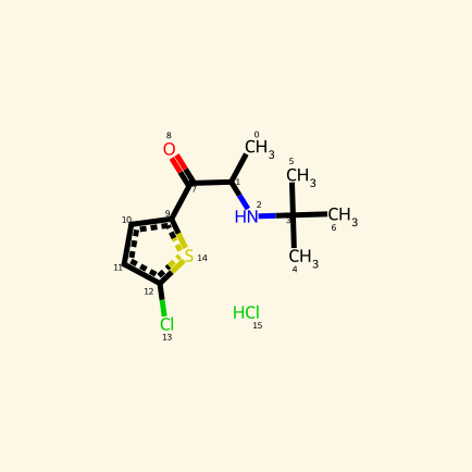 CC(NC(C)(C)C)C(=O)c1ccc(Cl)s1.Cl